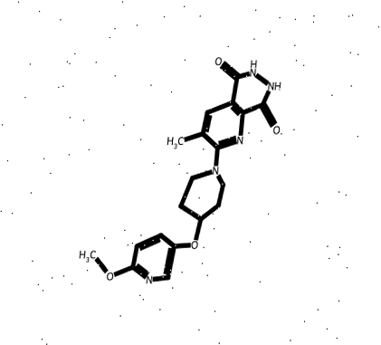 COc1ccc(OC2CCN(c3nc4c(=O)[nH][nH]c(=O)c4cc3C)CC2)cn1